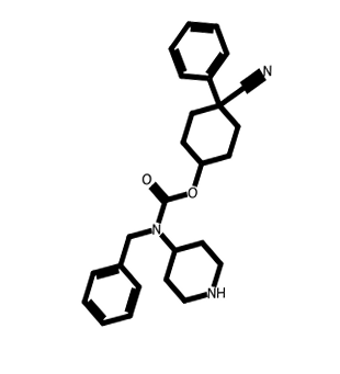 N#CC1(c2ccccc2)CCC(OC(=O)N(Cc2ccccc2)C2CCNCC2)CC1